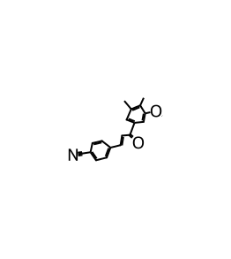 COc1cc(C(=O)/C=C/c2ccc(C#N)cc2)cc(C)c1C